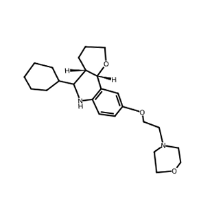 c1cc2c(cc1OCCN1CCOCC1)[C@H]1OCCC[C@H]1C(C1CCCCC1)N2